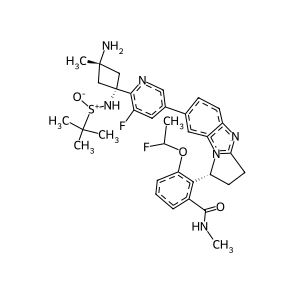 CNC(=O)c1cccc(OC(C)F)c1[C@H]1CCc2nc3ccc(-c4cnc([C@]5(N[S+]([O-])C(C)(C)C)C[C@@](C)(N)C5)c(F)c4)cc3n21